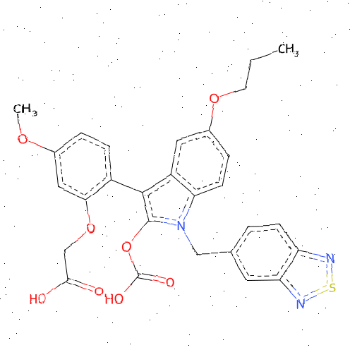 CCCOc1ccc2c(c1)c(-c1ccc(OC)cc1OCC(=O)O)c(OC(=O)O)n2Cc1ccc2nsnc2c1